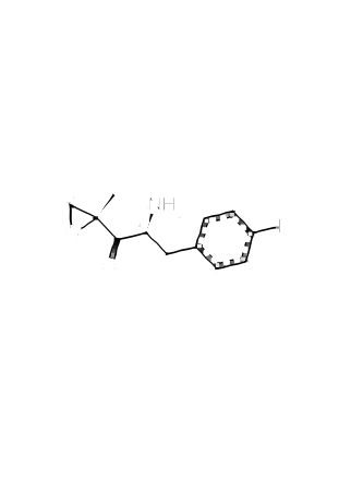 C[C@]1(C(=O)[C@@H](N)Cc2ccc(F)cc2)CO1